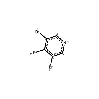 Fc1c(Br)cncc1Br